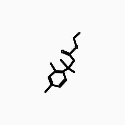 CCOC(=O)CC(C)(C)c1ccc(C)cc1C